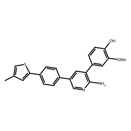 COc1cc(-c2cc(-c3ccc(-c4cc(C)cs4)cc3)cnc2N)ccc1O